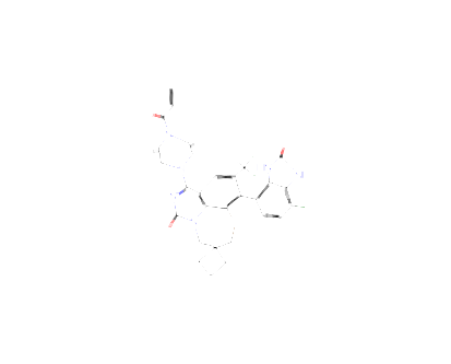 C=CC(=O)N1[C@H](C)CN(c2nc(=O)n3c4c(c(-c5ccc(F)c6[nH]c(=O)[nH]c56)c(C(F)(F)F)cc24)SCC2(CCC2)C3)C[C@@H]1C